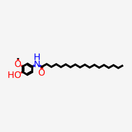 CCCCCCCCCCCCCCCCCC(=O)Nc1ccc(O)c(OC)c1